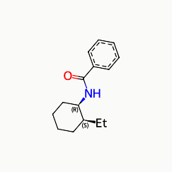 CC[C@H]1CCCC[C@H]1NC(=O)c1ccccc1